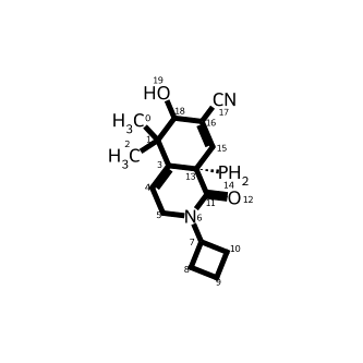 CC1(C)C2=CCN(C3CCC3)C(=O)[C@]2(P)C=C(C#N)C1O